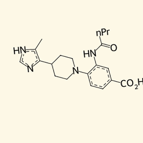 CCCC(=O)Nc1cc(C(=O)O)ccc1N1CCC(c2nc[nH]c2C)CC1